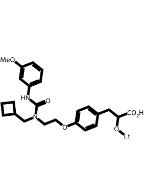 CCOC(Cc1ccc(OCCN(CC2CCC2)C(=O)Nc2cccc(OC)c2)cc1)C(=O)O